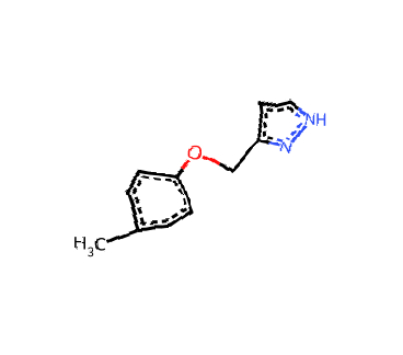 Cc1ccc(OCc2cc[nH]n2)cc1